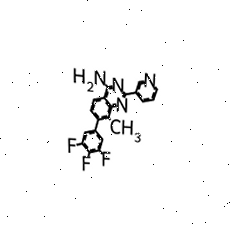 Cc1c(-c2cc(F)c(F)c(F)c2)ccc2c(N)nc(-c3cccnc3)nc12